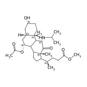 COC(=O)CC[C@@H](C)C1CCC2C3C([C@H](NC(C)C)C(=O)[C@@]21C)[C@@]1(C)CC[C@@H](O)C[C@H]1C[C@H]3OC(C)=O